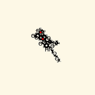 [CH2]COCCOCCNC(=O)c1ccc2c(c1)C1(c3ccc(N4CCC4)cc3Oc3cc(N4CCC4)ccc31)N(c1ccc3c(C(F)(F)F)cc(=O)oc3c1)C2=O